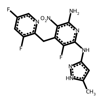 Cc1cc(Nc2nc(N)c([N+](=O)[O-])c(Cc3ncc(F)cc3F)c2F)n[nH]1